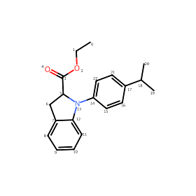 CCOC(=O)C1Cc2ccccc2N1c1ccc(C(C)C)cc1